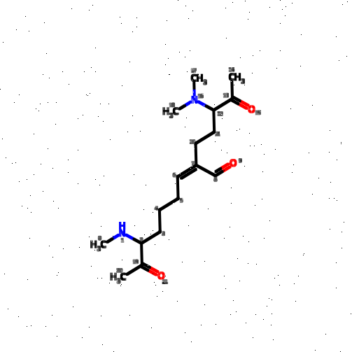 CNC(CCC/C=C(\C=O)CCC(C(C)=O)N(C)C)C(C)=O